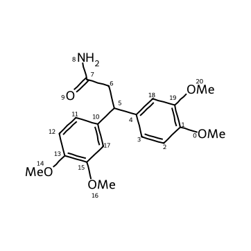 COc1ccc(C(CC(N)=O)c2ccc(OC)c(OC)c2)cc1OC